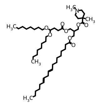 CCCCCC=CCC=CCCCCCCCC(=O)OCC(COC(=O)CCC(OCCCCCCCC)OCCCCCCCC)COC(=O)C1(C)CCN(C)CC1